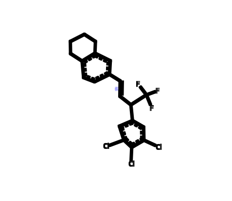 FC(F)(F)C(/C=C/c1ccc2c(c1)CCCC2)c1cc(Cl)c(Cl)c(Cl)c1